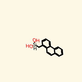 O[SiH](O)Cc1cccc2c1ccc1ccccc12